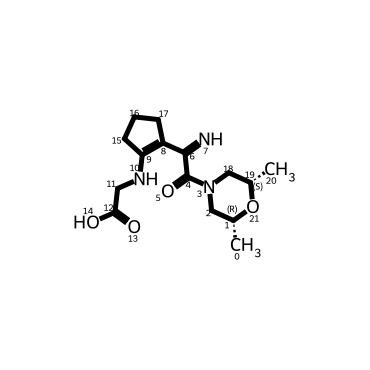 C[C@@H]1CN(C(=O)C(=N)C2=C(NCC(=O)O)CCC2)C[C@H](C)O1